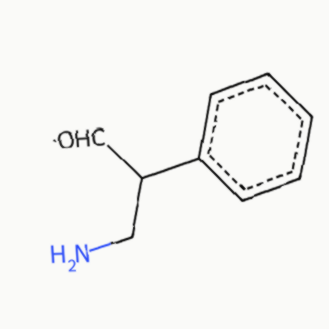 NCC([C]=O)c1ccccc1